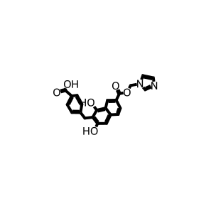 O=C(O)c1ccc(Cc2c(O)cc3ccc(C(=O)OCn4ccnc4)cc3c2O)cc1